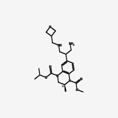 COC(=O)N1c2ccc(C(CN)CNCC3COC3)cc2N(C(=O)OC(C)C)C[C@@H]1C